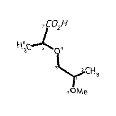 COC(C)COC(C)C(=O)O